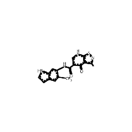 Cc1nsc2[nH]cc(C(=O)Nc3cc4[nH]ccc4cc3C(F)(F)F)c(=O)c12